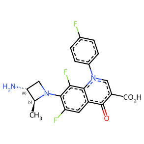 C[C@H]1[C@H](N)CN1c1c(F)cc2c(=O)c(C(=O)O)cn(-c3ccc(F)cc3)c2c1F